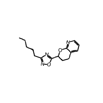 CCCCCc1noc(C2CCc3cccnc3O2)n1